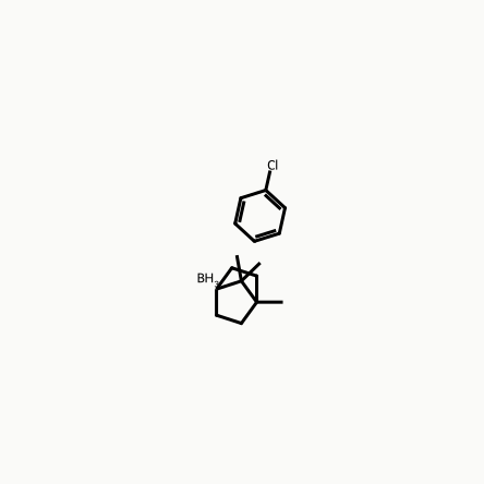 B.CC12CCC(CC1)C2(C)C.Clc1ccccc1